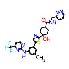 Cc1cc(Nc2nccc(C(F)(F)F)n2)cc(-c2cnc([C@]3(O)CC[C@@H](C(=O)NCc4cccnn4)CC3)s2)c1